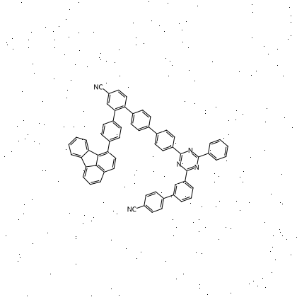 N#Cc1ccc(-c2cccc(-c3nc(-c4ccccc4)nc(-c4ccc(-c5ccc(-c6ccc(C#N)cc6-c6ccc(-c7ccc8cccc9c8c7-c7ccccc7-9)cc6)cc5)cc4)n3)c2)cc1